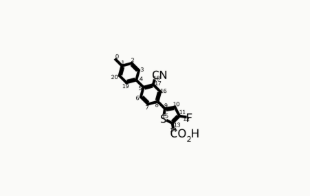 Cc1ccc(-c2ccc(-c3cc(F)c(C(=O)O)s3)cc2C#N)cc1